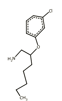 CCCCCC(CN)Oc1cccc(Cl)c1